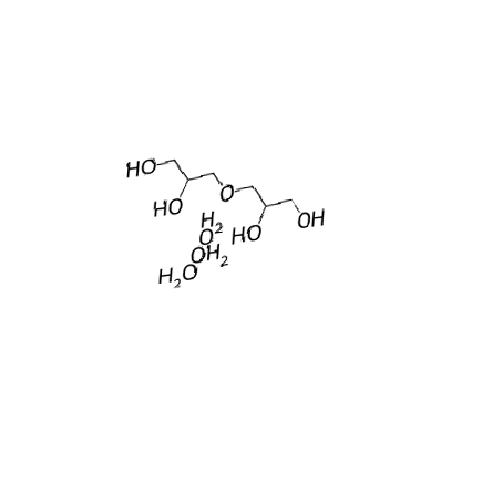 O.O.O.OCC(O)COCC(O)CO